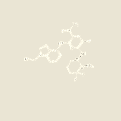 CC(C)Cn1ccc2c(Nc3nc(N[C@@H]4CCCC(F)(F)[C@@H]4N)c(F)cc3C(N)=O)cccc21